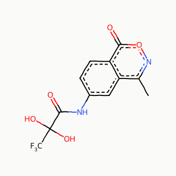 Cc1noc(=O)c2ccc(NC(=O)C(O)(O)C(F)(F)F)cc12